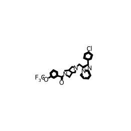 O=C(c1cccc(OC(F)(F)F)c1)N1CC2CN(Cc3c(-c4ccc(Cl)cc4)nc4ccccn34)CC2C1